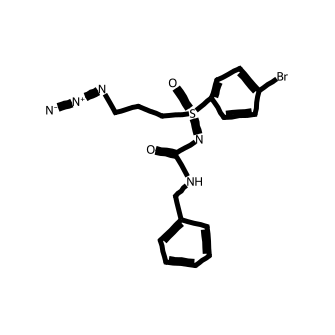 [N-]=[N+]=NCCCS(=O)(=NC(=O)NCc1ccccc1)c1ccc(Br)cc1